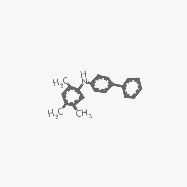 Cc1cc(C)c(Nc2ccc(-c3ccccc3)cc2)cc1C